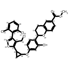 COC(=O)c1ccc2c(c1)CCC(c1ccc(OC3CC3c3onc(-c4c(Cl)cccc4Cl)c3CCl)cc1Cl)O2